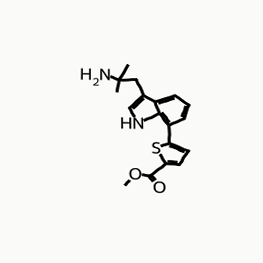 COC(=O)c1ccc(-c2cccc3c(CC(C)(C)N)c[nH]c23)s1